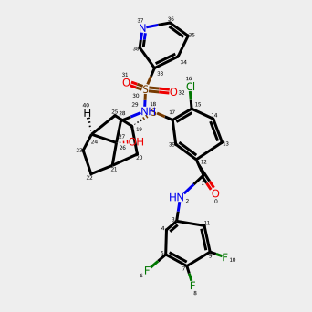 O=C(Nc1cc(F)c(F)c(F)c1)c1ccc(Cl)c(S[C@@H]2CC3CC[C@@H](C2)[C@@]3(O)CNS(=O)(=O)c2cccnc2)c1